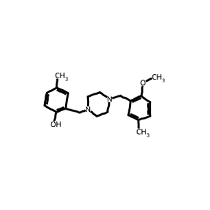 COc1ccc(C)cc1CN1CCN(Cc2cc(C)ccc2O)CC1